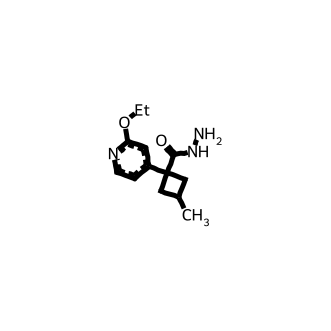 CCOc1cc(C2(C(=O)NN)CC(C)C2)ccn1